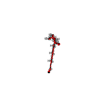 C[C@@H](C[C@H](Cc1ccc(O)c(NC(=O)[C@H](CCCCNC(=O)CCOCCOCCNC(=O)CCOCCOCCNC(=O)CCCCCCCCCC(=O)OCc2ccccc2)NC(=O)OCc2ccccc2)c1)NC(=O)OC(C)(C)C)C(=O)OC(C)(C)C